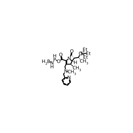 BNPOC(=O)C1=C(CN(C)Cc2ccccn2)[C@H](C)[C@@H]2[C@@H]([C@@H](C)O[Si](CC)(CC)CC)C(=O)N12